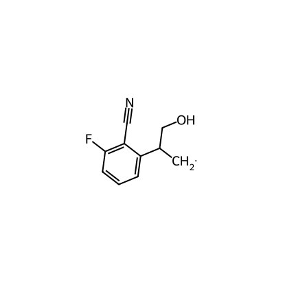 [CH2]C(CO)c1cccc(F)c1C#N